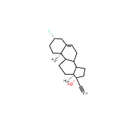 C#C[C@]1(O)CCC2C3CC=C4C[C@@H](F)CC[C@]4(C)C3CC[C@@]21C